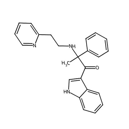 CC(NCCc1ccccn1)(C(=O)c1c[nH]c2ccccc12)c1ccccc1